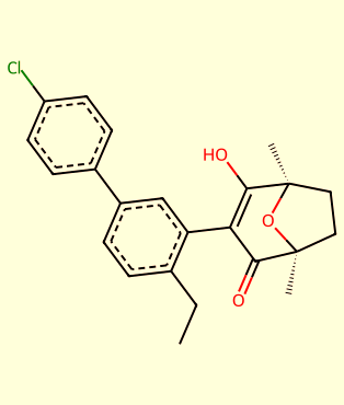 CCc1ccc(-c2ccc(Cl)cc2)cc1C1=C(O)[C@@]2(C)CC[C@](C)(O2)C1=O